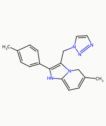 CC1=CC=C2NC(c3ccc(C)cc3)=C(Cn3ccnn3)N2C1